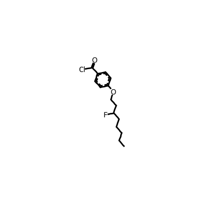 CCCCCC(F)CCOc1ccc(C(=O)Cl)cc1